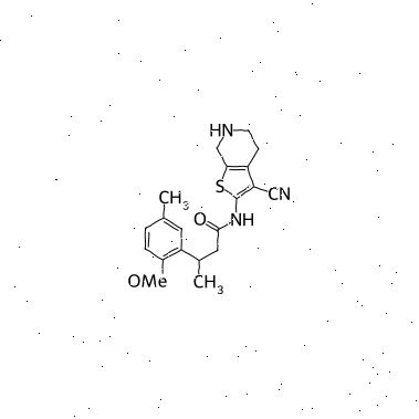 COc1ccc(C)cc1C(C)CC(=O)Nc1sc2c(c1C#N)CCNC2